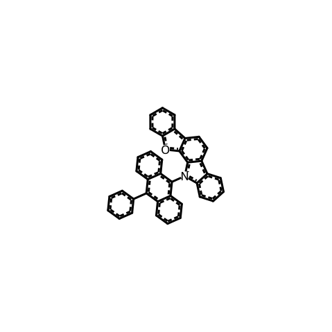 c1ccc(-c2c3ccccc3c(-n3c4ccccc4c4ccc5c6ccccc6oc5c43)c3ccccc23)cc1